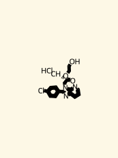 C.Cl.O=C(Cn1c(-c2ccc(Cl)cc2)nc2cccnc21)OCCO